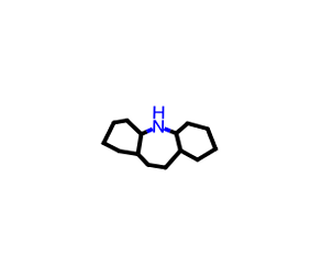 C1CCC2NC3CCCCC3CCC2C1